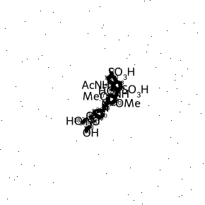 COc1cc(Nc2c(S(=O)(=O)O)cc3cc(S(=O)(=O)O)cc(NC(C)=O)c3c2O)c(OC)cc1/N=N/c1ccc(S(=O)(=O)N(CCO)CCO)cc1